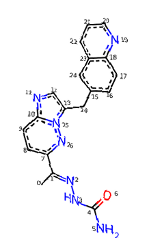 CC(=NNC(N)=O)c1ccc2ncc(Cc3ccc4ncccc4c3)n2n1